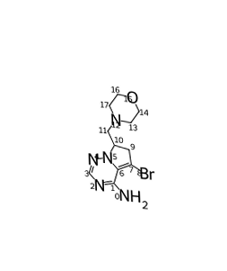 NC1=NC=NN2C1=C(Br)CC2CN1CCOCC1